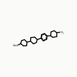 CSC1CCC(C2CCC(c3ccc(C4CCC(C)CC4)cc3)CC2)CC1